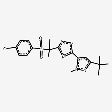 Cn1nc(C(C)(C)C)cc1-c1nc(C(C)(C)S(=O)(=O)c2ccc(Cl)cc2)no1